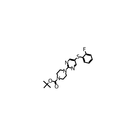 CC(C)(C)OC(=O)N1CCN(c2ncc(Sc3ccccc3F)cn2)CC1